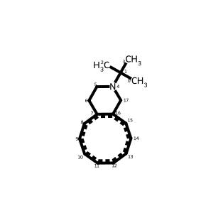 CC(C)(C)N1CCc2ccccccccc2C1